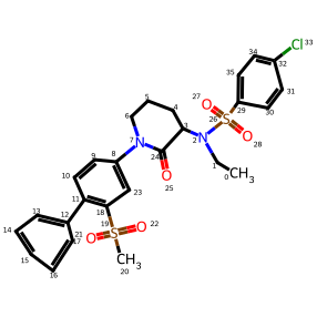 CCN(C1CCCN(c2ccc(-c3ccccc3)c(S(C)(=O)=O)c2)C1=O)S(=O)(=O)c1ccc(Cl)cc1